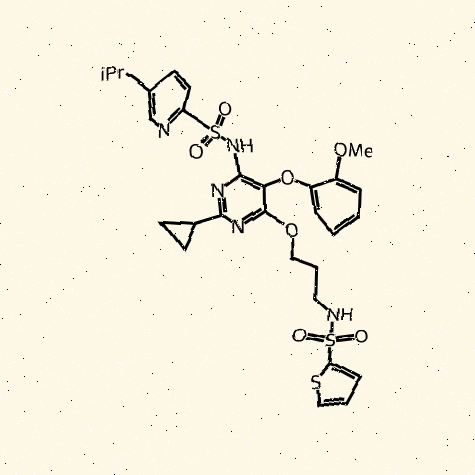 COc1ccccc1Oc1c(NS(=O)(=O)c2ccc(C(C)C)cn2)nc(C2CC2)nc1OCCCNS(=O)(=O)c1cccs1